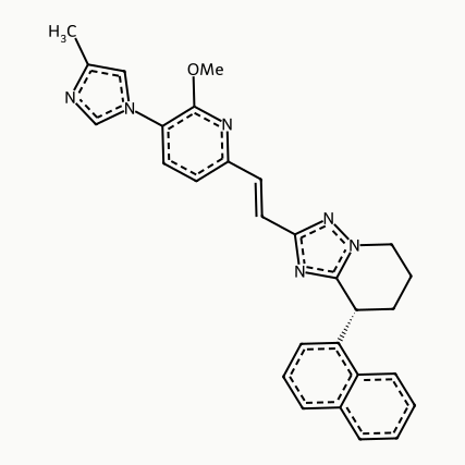 COc1nc(/C=C/c2nc3n(n2)CCC[C@@H]3c2cccc3ccccc23)ccc1-n1cnc(C)c1